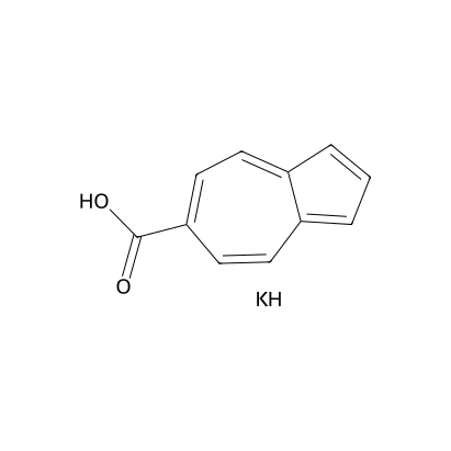 O=C(O)c1ccc2cccc-2cc1.[KH]